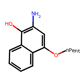 CCCCCOc1cc(N)c(O)c2ccccc12